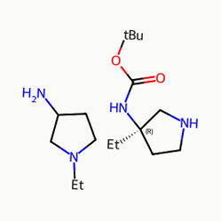 CCN1CCC(N)C1.CC[C@@]1(NC(=O)OC(C)(C)C)CCNC1